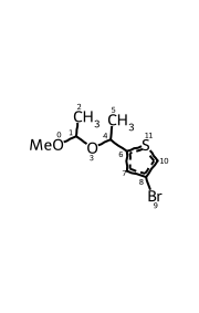 COC(C)OC(C)c1cc(Br)cs1